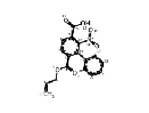 C=CCOC(=O)c1ccc(C(=O)O)c([N+](=O)[O-])c1-c1ccccc1